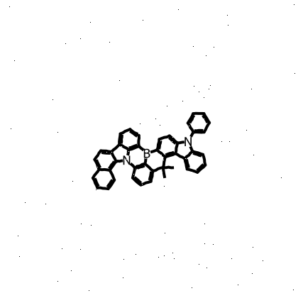 CC1(C)c2cccc3c2B(c2ccc4c(c21)c1ccccc1n4-c1ccccc1)c1cccc2c4ccc5ccccc5c4n-3c12